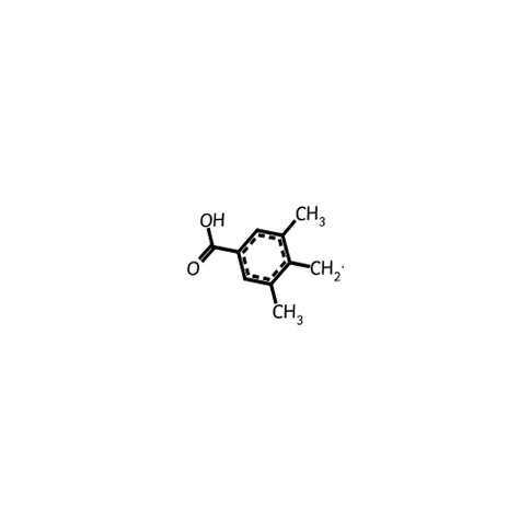 [CH2]c1c(C)cc(C(=O)O)cc1C